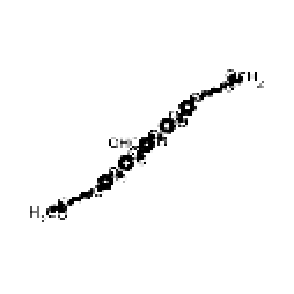 C=CC(=O)OCCCCCCOc1ccc(OC(=O)[C@H]2CC[C@H](OC(=O)c3ccc(OC(=O)[C@H]4CC[C@@H](OC(=O)c5ccc(OCCCCCCOC(=O)C=C)cc5)CC4)cc3C=O)CC2)cc1